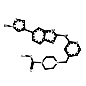 CCn1cc(-c2ccc3nc(Nc4cc(CN5CCN(C(=O)OC(C)(C)C)CC5)ccn4)[nH]c3c2)cn1